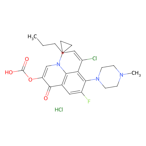 CCCC/C=C(/Cl)c1c(N2CCN(C)CC2)c(F)cc2c(=O)c(OC(=O)O)cn(C3CC3)c12.Cl